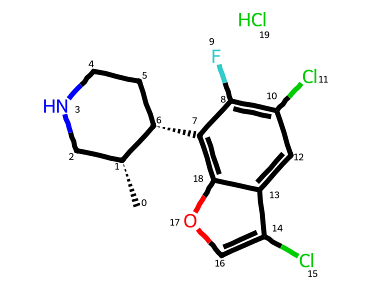 C[C@@H]1CNCC[C@@H]1c1c(F)c(Cl)cc2c(Cl)coc12.Cl